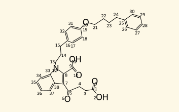 O=C(O)CCC(=O)c1c(C(=O)O)n(CCCc2ccc(OCCCCc3ccccc3)cc2)c2ccccc12